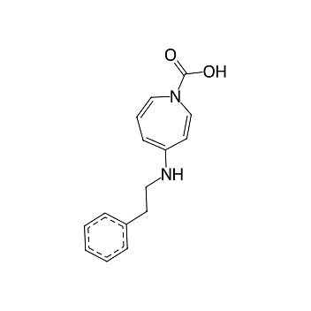 O=C(O)N1C=CC=C(NCCc2ccccc2)C=C1